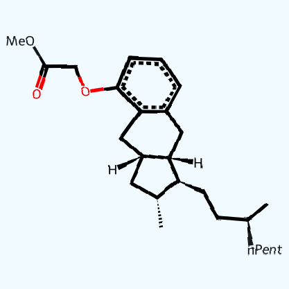 CCCCC[C@H](C)CC[C@@H]1[C@H]2Cc3cccc(OCC(=O)OC)c3C[C@H]2C[C@H]1C